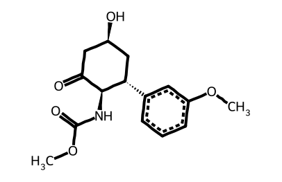 COC(=O)N[C@H]1C(=O)C[C@@H](O)C[C@@H]1c1cccc(OC)c1